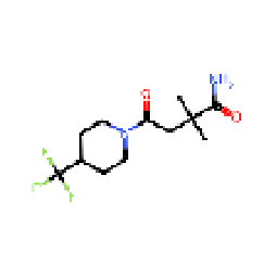 CC(C)([CH]C(=O)N1CCC(C(F)(F)F)CC1)C(N)=O